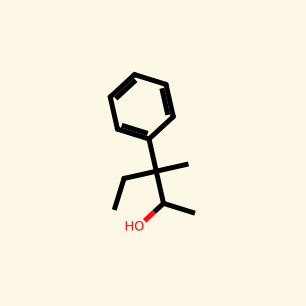 CCC(C)(c1ccccc1)C(C)O